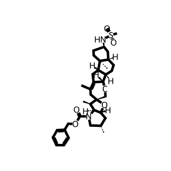 CC1=C2C[C@H]3[C@@H](CC[C@@H]4C[C@H](NS(C)(=O)=O)CC[C@@]43C)[C@@H]2CC[C@@]2(C1)O[C@@H]1C[C@H](C)CN(C(=O)OCc3ccccc3)[C@H]1[C@H]2C